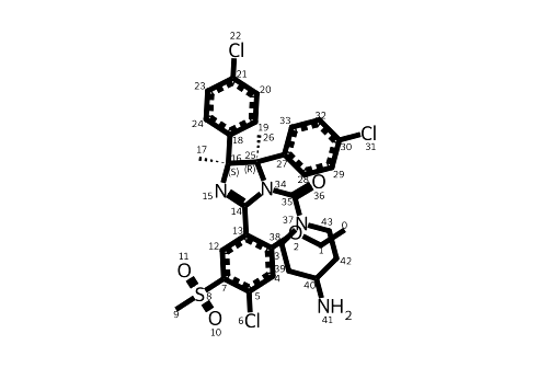 CCOc1cc(Cl)c(S(C)(=O)=O)cc1C1=N[C@@](C)(c2ccc(Cl)cc2)[C@@](C)(c2ccc(Cl)cc2)N1C(=O)N1CCC(N)CC1